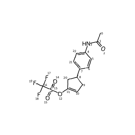 CC(=O)Nc1ccc(C2CC=C(OS(=O)(=O)C(F)(F)F)C2)cc1